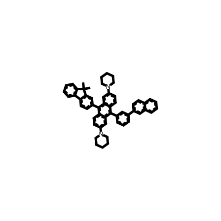 CC1(C)c2ccccc2-c2ccc(-c3c4ccc(N5CCCCC5)cc4c(-c4cccc(-c5ccc6ccccc6c5)c4)c4ccc(N5CCCCC5)cc34)cc21